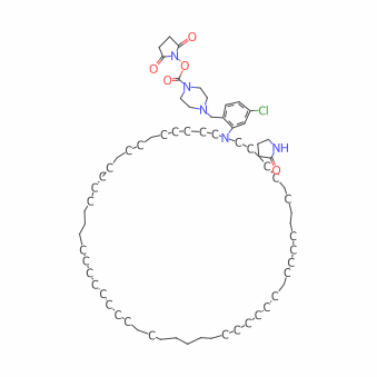 O=C(ON1C(=O)CCC1=O)N1CCN(Cc2ccc(Cl)cc2N2CCCCCCCCCCCCCCCCCCCCCCCCCCCCCCCCCCCCCCCCCCCCCCCCC3(CCNC3=O)CC2)CC1